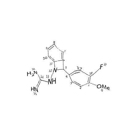 COc1ccc(C2c3ccccc3N2NC(=N)N)cc1F